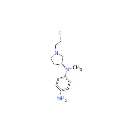 CN(c1ccc(N)cc1)[C@H]1CCN(CCF)C1